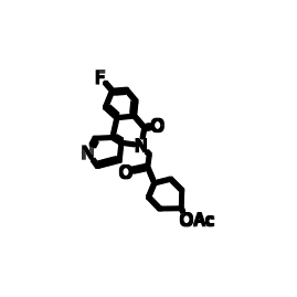 CC(=O)OC1CCC(C(=O)Cn2c(=O)c3ccc(F)cc3c3cnccc32)CC1